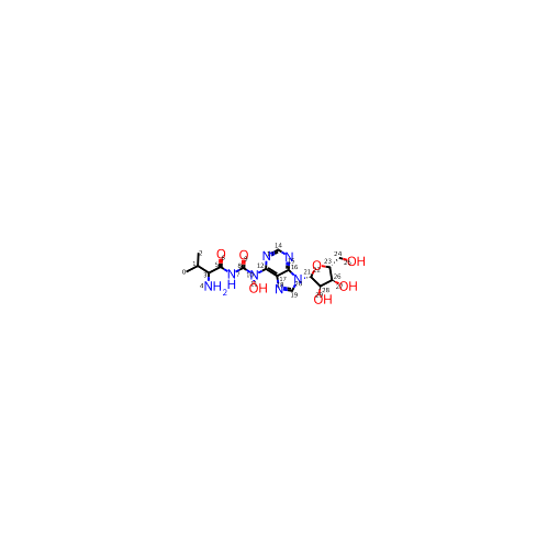 CC(C)C(N)C(=O)NC(=O)N(O)c1ncnc2c1ncn2[C@@H]1O[C@H](CO)[C@@H](O)[C@H]1O